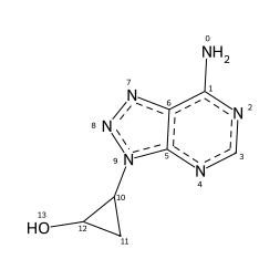 Nc1ncnc2c1nnn2C1CC1O